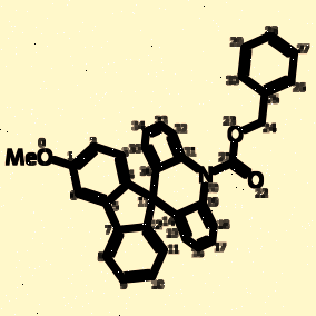 COc1ccc2c(c1)-c1ccccc1C21c2ccccc2N(C(=O)OCc2ccccc2)c2ccccc21